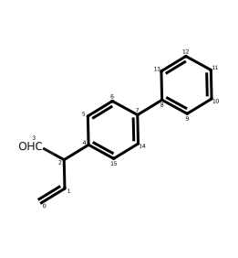 C=CC(C=O)c1ccc(-c2ccccc2)cc1